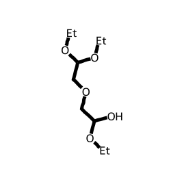 CCOC(O)COCC(OCC)OCC